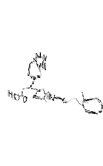 Cc1ccccc1CCCCNCc1cc(C(CC(=O)O)c2ccn3nnnc3c2)ccc1C